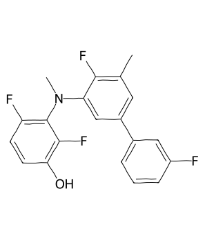 Cc1cc(-c2cccc(F)c2)cc(N(C)c2c(F)ccc(O)c2F)c1F